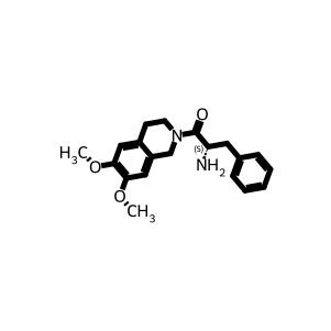 COc1cc2c(cc1OC)CN(C(=O)[C@@H](N)Cc1ccccc1)CC2